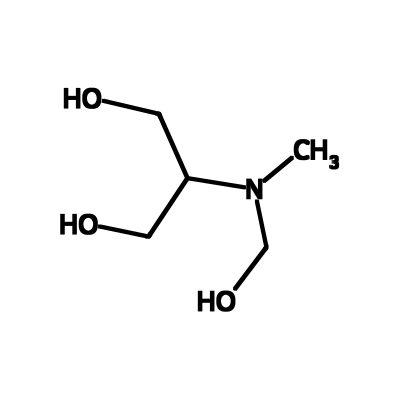 CN(CO)C(CO)CO